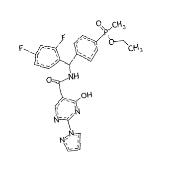 CCOP(C)(=O)c1ccc(C(NC(=O)c2cnc(-n3cccn3)nc2O)c2ccc(F)cc2F)cc1